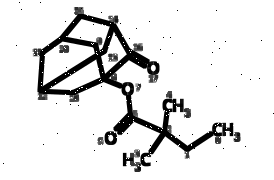 CCC(C)(C)C(=O)OC12CC3CC(CC(C3)C1=O)C2